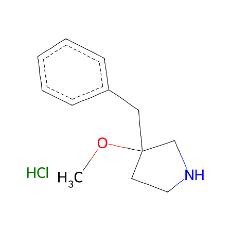 COC1(Cc2ccccc2)CCNC1.Cl